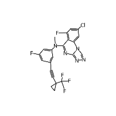 CN(c1cc(F)cc(C#CC2(C(F)(F)F)CC2)c1)c1nc2nncn2c2cc(Cl)cc(F)c12